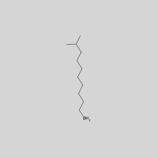 BCCCCCCCCC(C)C